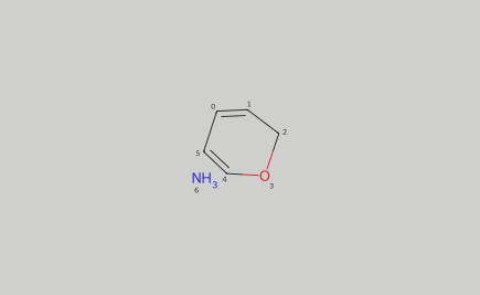 C1=CCOC=C1.N